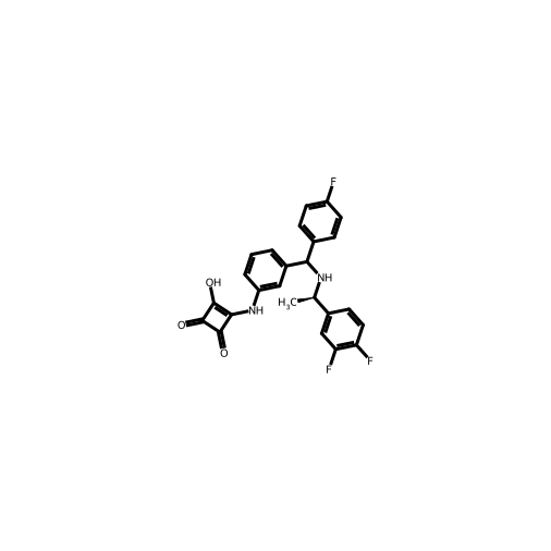 C[C@@H](NC(c1ccc(F)cc1)c1cccc(Nc2c(O)c(=O)c2=O)c1)c1ccc(F)c(F)c1